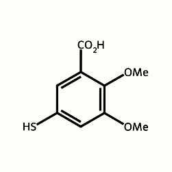 COc1cc(S)cc(C(=O)O)c1OC